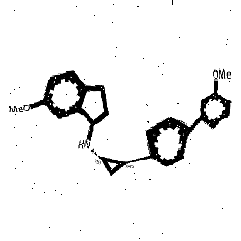 COc1cccc(-c2ccc([C@H]3C[C@@H]3NC3CCc4ccc(OC)cc43)cc2)c1